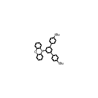 CC(C)(C)c1ccc(-c2cc(-c3ccc(C(C)(C)C)cc3)cc(N3c4ccccc4Oc4ccccc43)c2)cc1